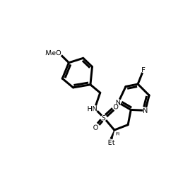 CC[C@H](Cc1ncc(F)cn1)S(=O)(=O)NCc1ccc(OC)cc1